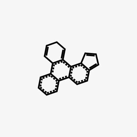 C1=Cc2c(ccc3c2c2c(c4ccccc43)C=CCC=2)=C1